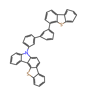 c1cc(-c2cccc(-n3c4ccccc4c4c5sc6ccccc6c5ccc43)c2)cc(-c2cccc3c2sc2ccccc23)c1